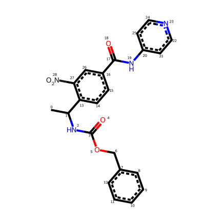 CC(NC(=O)OCc1ccccc1)c1ccc(C(=O)Nc2ccncc2)cc1[N+](=O)[O-]